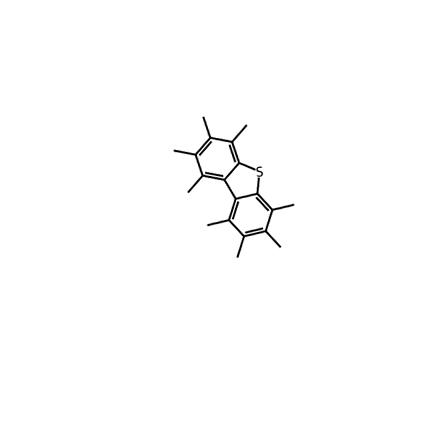 Cc1c(C)c(C)c2c(sc3c(C)c(C)c(C)c(C)c32)c1C